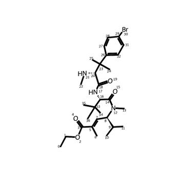 CCOC(=O)/C(C)=C/[C@H](C(C)C)N(C)C(=O)[C@@H](NC(=O)[C@H](NC)C(C)(C)c1ccc(Br)cc1)C(C)(C)C